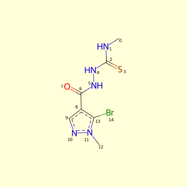 CNC(=S)NNC(=O)c1cnn(C)c1Br